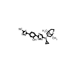 C[C@]12CCC[C@](C)(C[C@@H](N(c3cnc(-c4ccc(-c5nnc(C#N)s5)cc4O)nn3)C3CC3)C1)N2